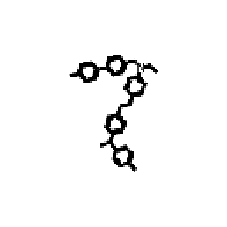 CCN(Cc1ccc(-c2ccc(C)cc2)cc1)c1ccc(CCc2ccc(C(C)c3ccc(C)cc3)cc2)cc1